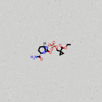 CCOC(=O)C1(COS(=O)(=O)ON2C(=O)N3C[C@H]2CC[C@H]3C(N)=O)CC1